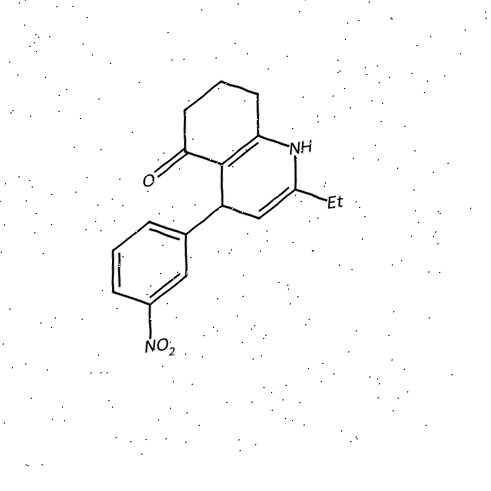 CCC1=CC(c2cccc([N+](=O)[O-])c2)C2=C(CCCC2=O)N1